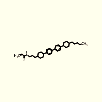 C=CC(=O)NCCCC1CCC(c2ccc(-c3ccc(C4CCC(CCCCC)CC4)cc3)cc2)CC1